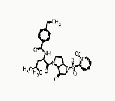 C=Cc1ccc(C(=O)NC(CC(C)C)C(=O)N2CCC3C2C(=O)CN3S(=O)(=O)c2cccc[n+]2[O-])cc1